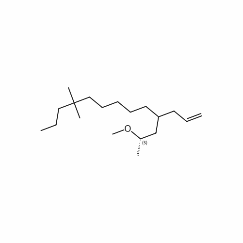 C=CCC(CCCCCC(C)(C)CCC)C[C@H](C)OC